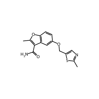 Cc1ncc(COc2ccc3oc(C)c(C(N)=O)c3c2)s1